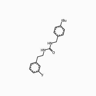 CC(C)(C)c1ccc(CNC(=O)NCCc2cccc(F)c2)cc1